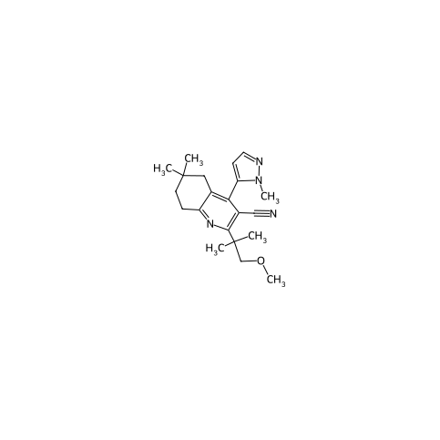 COCC(C)(C)c1nc2c(c(-c3ccnn3C)c1C#N)CC(C)(C)CC2